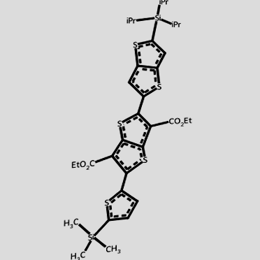 CCOC(=O)c1c(-c2ccc([Si](C)(C)C)s2)sc2c(C(=O)OCC)c(-c3cc4sc([Si](C(C)C)(C(C)C)C(C)C)cc4s3)sc12